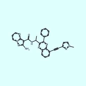 CC(NC(=O)c1c(N)nn2cccnc12)c1nc2cccc(C#Cc3ccn(C)n3)c2nc1-c1ccccc1